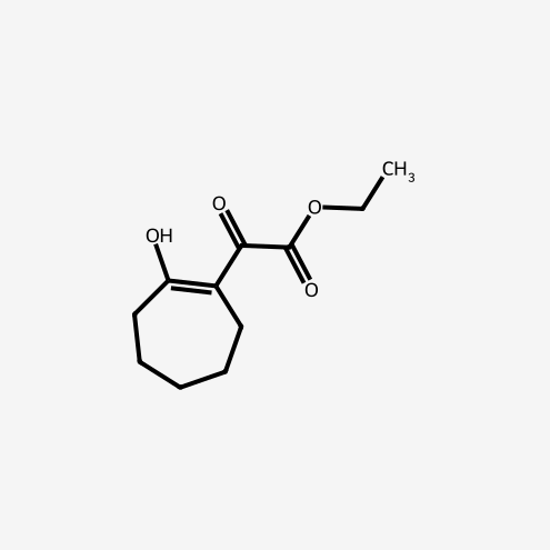 CCOC(=O)C(=O)C1=C(O)CCCCC1